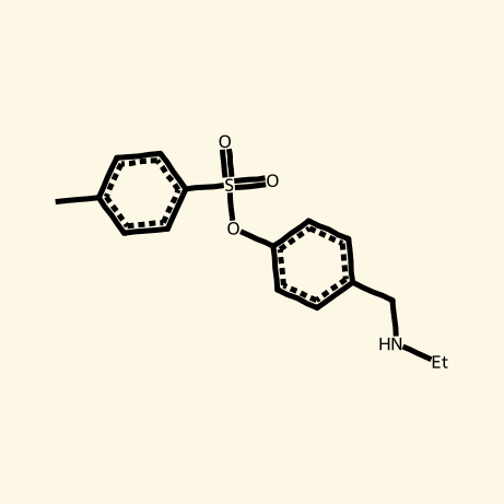 CCNCc1ccc(OS(=O)(=O)c2ccc(C)cc2)cc1